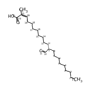 CCCCCCCCCC(C=O)CCCCCCCCC=C(C)C(=O)O